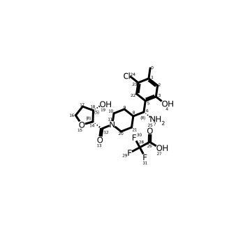 Cc1cc(O)c([C@H](N)C2CCN(C(=O)[C@@H]3OCC[C@@H]3O)CC2)cc1Cl.O=C(O)C(F)(F)F